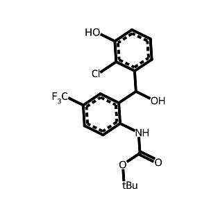 CC(C)(C)OC(=O)Nc1ccc(C(F)(F)F)cc1C(O)c1cccc(O)c1Cl